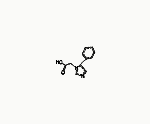 O=C(O)Cn1cncc1-c1ccccc1